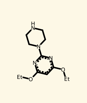 CCOc1cc(OCC)nc(N2CCNCC2)n1